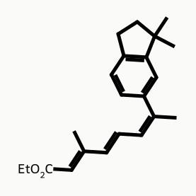 CCOC(=O)/C=C(C)/C=C/C=C(/C)c1ccc2c(c1)C(C)(C)CC2